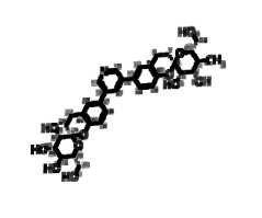 C[C@H]1[C@H](O)[C@H](O)[C@]2(CCc3cc(-c4cncc(-c5ccc6c(c5)CC[C@]5(O6)O[C@H](CO)[C@@H](O)[C@H](O)[C@@H]5O)c4)ccc3O2)O[C@@H]1CO